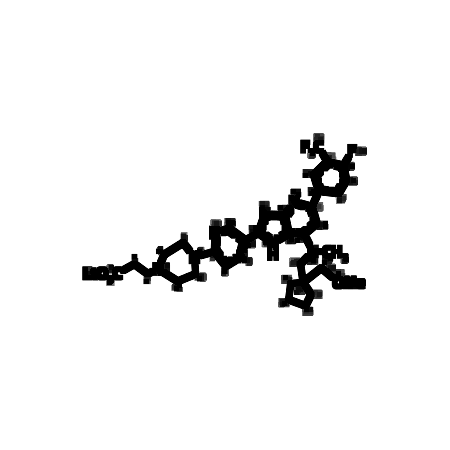 CCOC(=O)CCN1CCN(c2cnc(-c3nc4nc(-c5ccc(F)c(C(F)(F)F)c5)cc(N(C)CC5(COC)CCCC5)c4[nH]3)cn2)CC1